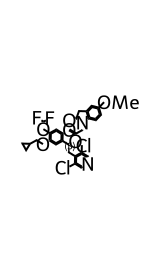 COc1ccc2c(c1)CC(=O)N2CC(=O)O[C@@H](Cc1c(Cl)cncc1Cl)c1ccc(OC(F)F)c(OCC2CC2)c1